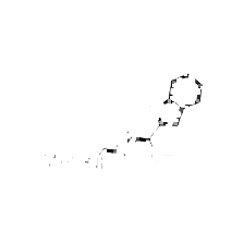 CSNC=N/N=C(\C)c1cc2ccccc2o1